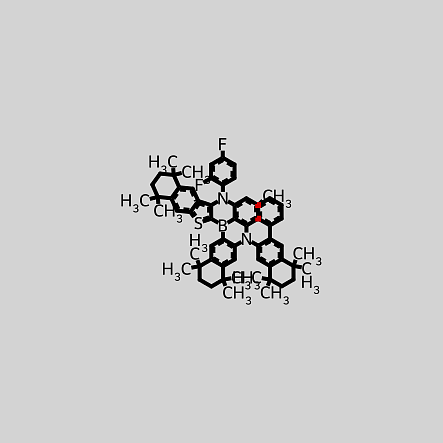 Cc1cc2c3c(c1)N(c1ccc(F)cc1F)c1c(sc4cc5c(cc14)C(C)(C)CCC5(C)C)B3c1cc3c(cc1N2c1cc2c(cc1-c1ccccc1)C(C)(C)CCC2(C)C)C(C)(C)CCC3(C)C